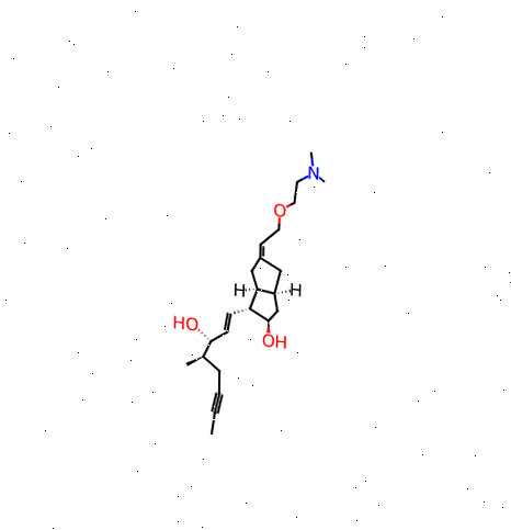 CC#CC[C@@H](C)[C@H](O)/C=C/[C@@H]1[C@H]2C/C(=C/COCCN(C)C)C[C@H]2C[C@H]1O